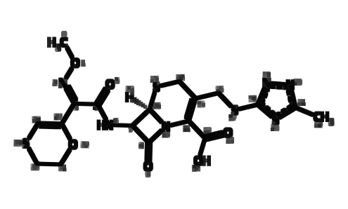 CO/N=C(\C(=O)NC1C(=O)N2C(C(=O)O)=C(CSc3nnc(C)s3)CS[C@H]12)C1=CSCCO1